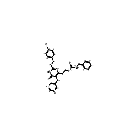 O=C(NCCc1nc(SCc2ccc(F)cc2)[nH]c(=O)c1Cc1cncnc1)NCc1ccccc1